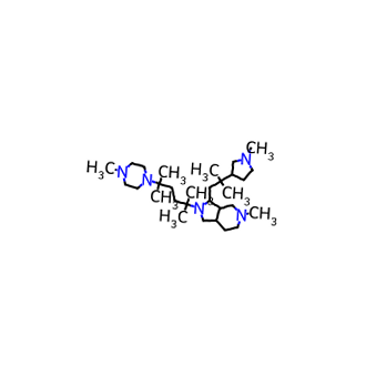 CN1CCN(C(C)(C)CCC(C)(C)N2CC3CCN(C)CC3C2CC(C)(C)C2CCN(C)C2)CC1